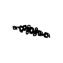 O=S(=O)(c1ccc(S(=O)(=O)N2CCN(c3ccncc3)CC2)cc1)c1ccc2cc(Br)ccc2c1